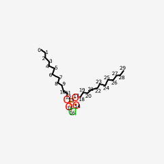 CCCCCCCCCCCCOP(=O)(OCl)OCCCCCCCCCCCC